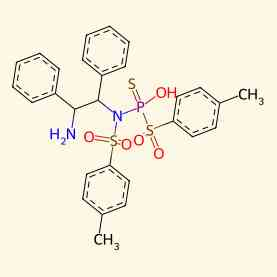 Cc1ccc(S(=O)(=O)N(C(c2ccccc2)C(N)c2ccccc2)P(O)(=S)S(=O)(=O)c2ccc(C)cc2)cc1